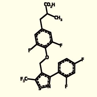 CC(Cc1cc(F)c(OCc2c(-c3ccc(F)cc3F)nsc2C(F)(F)F)c(F)c1)C(=O)O